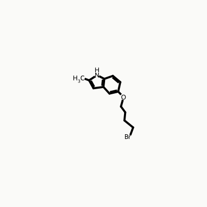 Cc1cc2cc(OCCCCBr)ccc2[nH]1